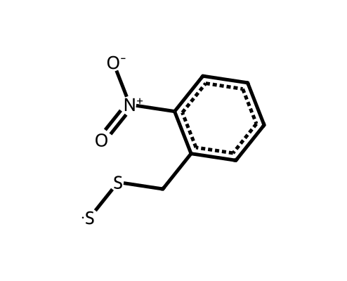 O=[N+]([O-])c1ccccc1CS[S]